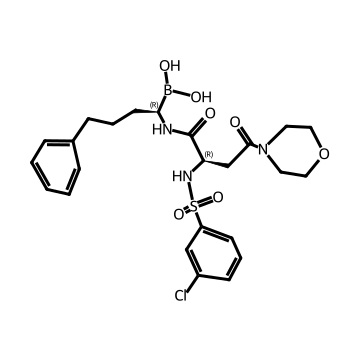 O=C(N[C@@H](CCCc1ccccc1)B(O)O)[C@@H](CC(=O)N1CCOCC1)NS(=O)(=O)c1cccc(Cl)c1